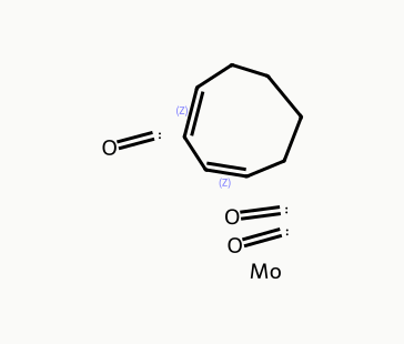 C1=C\CCCC\C=C/1.[C]=O.[C]=O.[C]=O.[Mo]